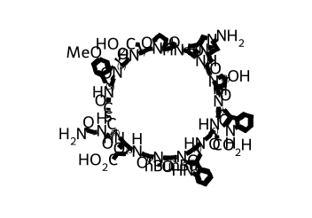 CCCC[C@H]1C(=O)N(C)[C@@H](CCCC)C(=O)N[C@@H](CCC(=O)O)C(=O)N[C@H](C(=O)NCC(N)=O)CSCC(=O)N[C@@H](Cc2ccc(OC)cc2)C(=O)N(C)[C@@H](C)C(=O)N[C@@H](CC(=O)O)C(=O)N2CCC[C@H]2C(=O)N[C@@H](Cc2cnc[nH]2)C(=O)N[C@@H](CCCCN)C(=O)N2C[C@H](O)C[C@H]2C(=O)N[C@@H](Cc2c[nH]c3ccccc23)C(=O)N[C@@H](CC(=O)O)C(=O)N[C@@H](Cc2c[nH]c3ccccc23)C(=O)N1C